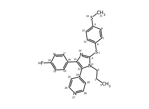 CCCn1c(Sc2ccc(SC)cc2)nc(-c2ccc(F)cc2)c1-c1ccncc1